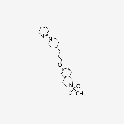 CS(=O)(=O)N1CCc2cc(OCCCC3CCN(c4ccccn4)CC3)ccc2C1